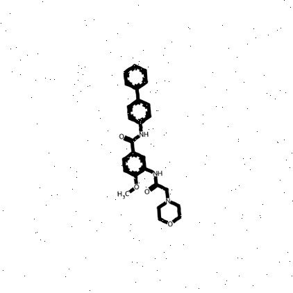 COc1ccc(C(=O)Nc2ccc(-c3ccccc3)cc2)cc1NC(=O)CN1CCOCC1